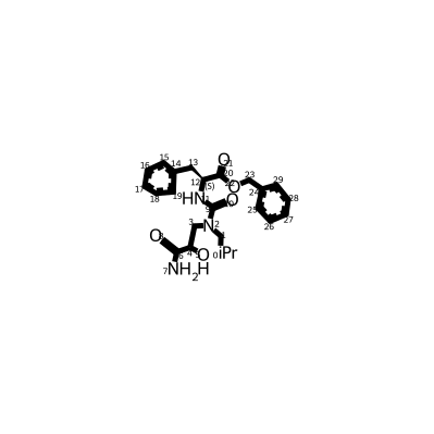 CC(C)CN(CC(O)C(N)=O)C(=O)N[C@@H](Cc1ccccc1)C(=O)OCc1ccccc1